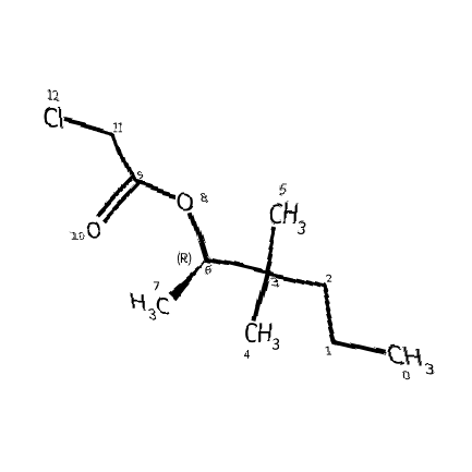 CCCC(C)(C)[C@@H](C)OC(=O)CCl